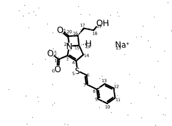 O=C([O-])C1=C(SC=Cc2ccccc2)C[C@@H]2[C@H](CCO)C(=O)N12.[Na+]